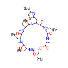 CC(C)CC1NC(=O)[C@H](Cc2nc(C(C)(C)C)cs2)N(C)C(=O)[C@H](CC(C)C)NC(=O)[C@H](CC(C)C)N(C)C(=O)[C@H](CC(C)C)NC(=O)[C@@H](CCC#N)OC(=O)[C@H](C)N(C)C1=O